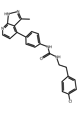 Cc1n[nH]c2nccc(-c3ccc(NC(=O)NCCc4ccc(Cl)cc4)cc3)c12